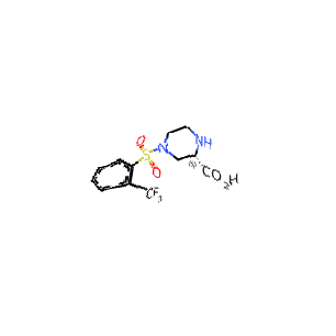 O=C(O)[C@@H]1CN(S(=O)(=O)c2ccccc2C(F)(F)F)CCN1